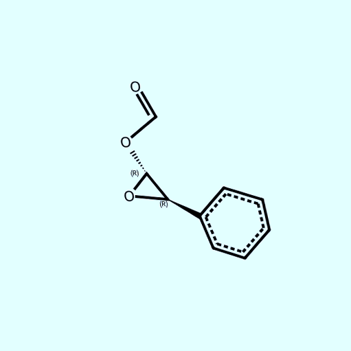 O=CO[C@H]1O[C@@H]1c1ccccc1